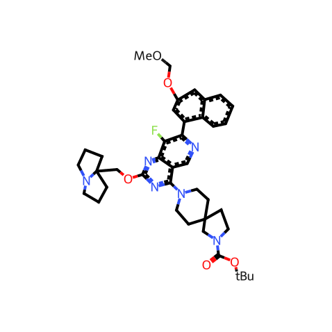 COCOc1cc(-c2ncc3c(N4CCC5(CCN(C(=O)OC(C)(C)C)C5)CC4)nc(OCC45CCCN4CCC5)nc3c2F)c2ccccc2c1